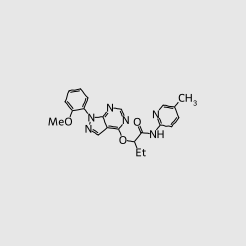 CCC(Oc1ncnc2c1cnn2-c1ccccc1OC)C(=O)Nc1ccc(C)cn1